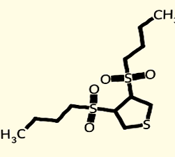 CCCCS(=O)(=O)C1CSCC1S(=O)(=O)CCCC